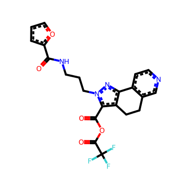 O=C(NCCCn1nc2c(c1C(=O)OC(=O)C(F)(F)F)CCc1cnccc1-2)c1ccco1